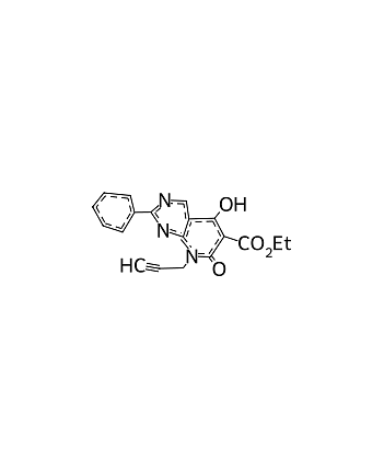 C#CCn1c(=O)c(C(=O)OCC)c(O)c2cnc(-c3ccccc3)nc21